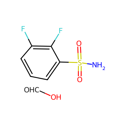 NS(=O)(=O)c1cccc(F)c1F.O=CO